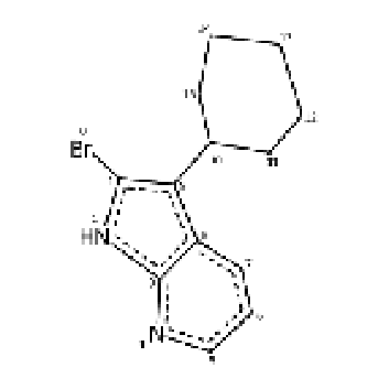 Brc1[nH]c2ncccc2c1C1CCCCC1